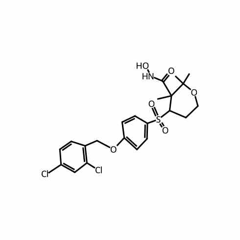 CC1(C)OCCC(S(=O)(=O)c2ccc(OCc3ccc(Cl)cc3Cl)cc2)C1(C)C(=O)NO